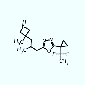 CC(Cc1nnc(C2(C(C)(F)F)CC2)o1)CC1(C)CNC1